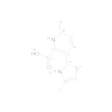 Cc1csc(-c2ccc(C)nc2C(=O)O)n1